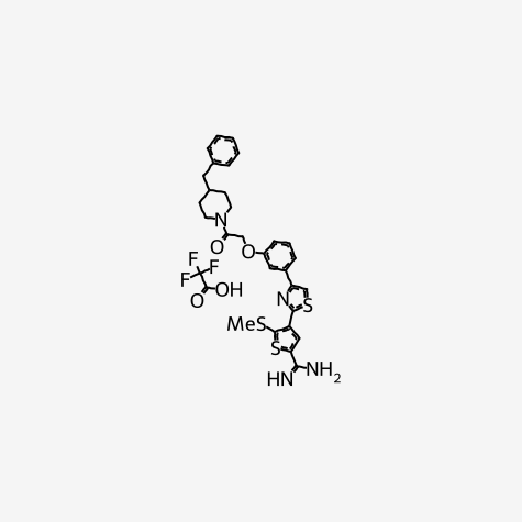 CSc1sc(C(=N)N)cc1-c1nc(-c2cccc(OCC(=O)N3CCC(Cc4ccccc4)CC3)c2)cs1.O=C(O)C(F)(F)F